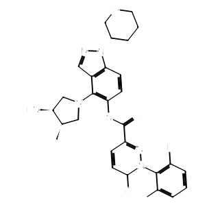 C[C@@H]1CN(c2c(NC(=O)C3=NN(c4c(F)cccc4F)C(O)C=C3)ccc3c2cnn3[C@H]2CCCOC2)C[C@@H]1N